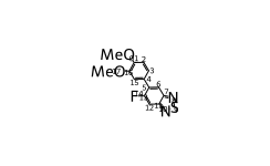 COc1ccc(-c2cc3nsnc3cc2F)cc1OC